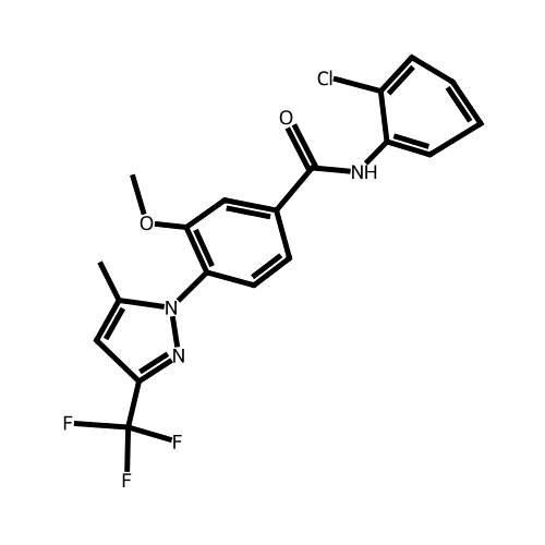 COc1cc(C(=O)Nc2ccccc2Cl)ccc1-n1nc(C(F)(F)F)cc1C